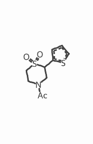 CC(=O)N1CCS(=O)(=O)C(c2cccs2)C1